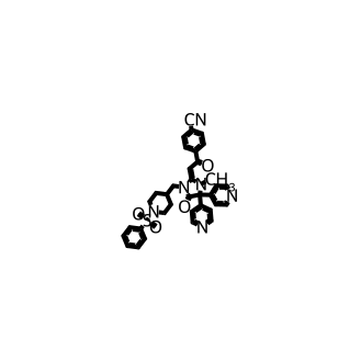 CN1C(=CC(=O)c2ccc(C#N)cc2)N(CC2CCN(S(=O)(=O)c3ccccc3)CC2)C(=O)C1(c1ccncc1)c1ccncc1